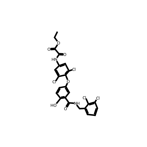 CCOC(=O)C(=O)Nc1cc(Cl)c(Oc2ccc(O)c(C(=O)NCc3cccc(Cl)c3Cl)c2)c(Cl)c1